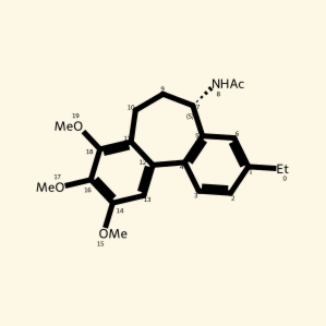 CCc1ccc2c(c1)[C@@H](NC(C)=O)CCc1c-2cc(OC)c(OC)c1OC